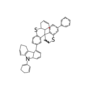 C1=CC2C(C(c3ccc4c(c3)C3(c5ccccc5Sc5cc(-c6ccccc6)ccc53)C3CC=CCC3S4)=C1)C1=C(C=CCC1)N2C1=CCCC=C1